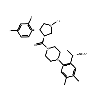 CC(=O)N[C@@H](C)c1cc(C)c(C)cc1N1CCN(C(=O)[C@@H]2CN(C(C)(C)C)C[C@H]2c2ccc(F)cc2F)CC1